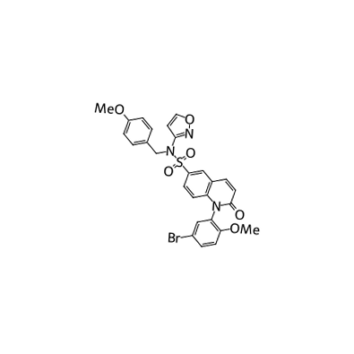 COc1ccc(CN(c2ccon2)S(=O)(=O)c2ccc3c(ccc(=O)n3-c3cc(Br)ccc3OC)c2)cc1